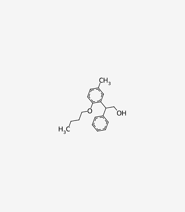 CCCCOc1ccc(C)cc1C(CO)c1ccccc1